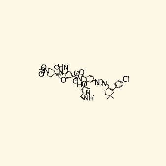 CC1(C)CCC(CN2CCN(c3ccc(C(=O)NS(=O)(=O)c4cc5c(c([N+](=O)[O-])c4)N[C@H](C4CCN(S(C)(=O)=O)CC4)CO5)c(Oc4cnc5[nH]ccc5c4)c3)CC2)=C(c2ccc(Cl)cc2)C1